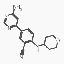 N#Cc1cc(-c2cc(N)ncn2)ccc1NC1CCOCC1